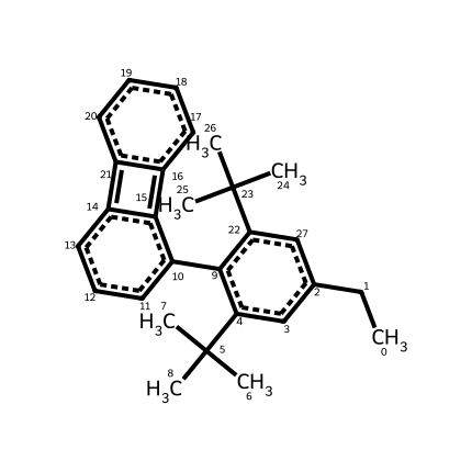 CCc1cc(C(C)(C)C)c(-c2cccc3c2=c2ccccc2=3)c(C(C)(C)C)c1